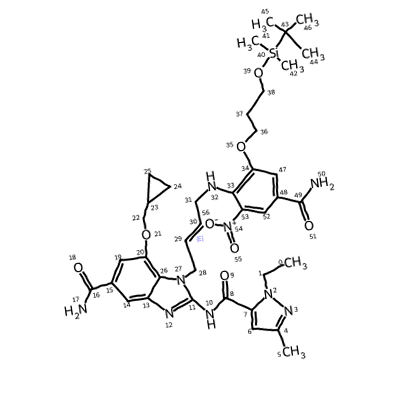 CCn1nc(C)cc1C(=O)Nc1nc2cc(C(N)=O)cc(OCC3CC3)c2n1C/C=C/CNc1c(OCCCO[Si](C)(C)C(C)(C)C)cc(C(N)=O)cc1[N+](=O)[O-]